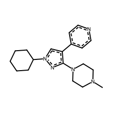 CN1CCN(c2nn(C3CCCCC3)cc2-c2ccncc2)CC1